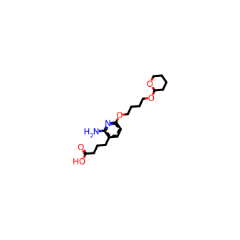 Nc1nc(OCCCCOC2CCCCO2)ccc1CCCC(=O)O